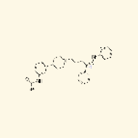 CC(C)C(=O)Nc1cccc(C2CCN(CCC/C(=N\Nc3ccccn3)c3ccccc3)CC2)c1